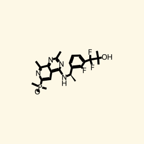 Cc1nc(N[C@H](C)c2cccc(C(F)(F)C(C)(C)O)c2F)c2cc(P(C)(C)=O)nc(C)c2n1